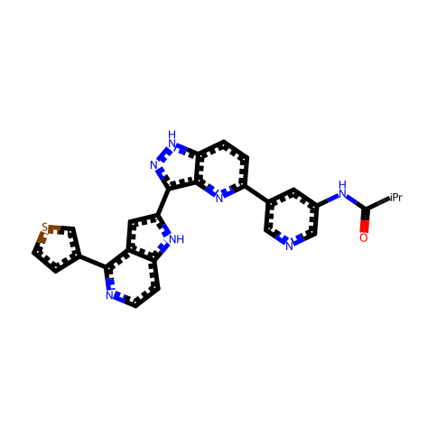 CC(C)C(=O)Nc1cncc(-c2ccc3[nH]nc(-c4cc5c(-c6ccsc6)nccc5[nH]4)c3n2)c1